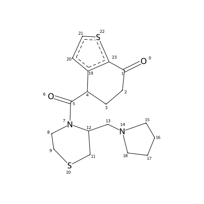 O=C1CCC(C(=O)N2CCSCC2CN2CCCC2)c2ccsc21